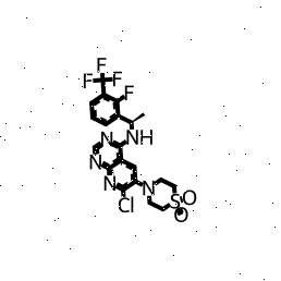 C[C@@H](Nc1ncnc2nc(Cl)c(N3CCS(=O)(=O)CC3)cc12)c1cccc(C(F)(F)F)c1F